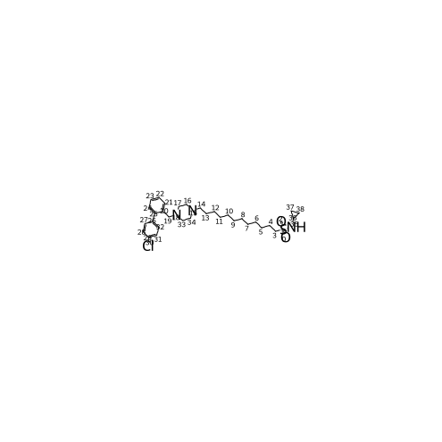 O=S(=O)(CCCCCCCCCCCCN1CCN(Cc2ccccc2-c2ccc(Cl)cc2)CC1)NC1CC1